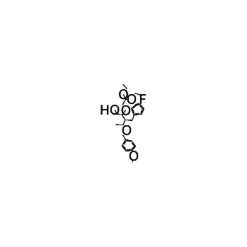 CCOC(CO[C@H](CO)[C@@H](Cc1ccc(F)cc1)[C@H](C)OCc1ccc(OC)cc1)OCC